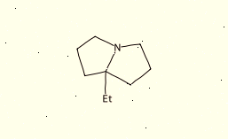 CCC12CCCN1CCC2